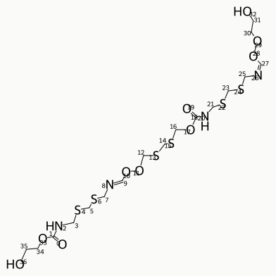 O=C(NCSCSC/N=C/OOCSCSCOC(=O)NCSCSC/N=C\OOCCO)OCCO